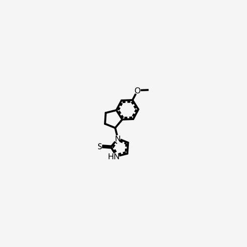 COc1ccc2c(c1)CCC2n1cc[nH]c1=S